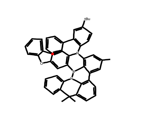 Cc1cc2c3c(c1)N(c1ccc(C(C)(C)C)cc1-c1ccccc1)c1cc4c(cc1B3N1c3ccccc3C(C)(C)c3cccc-2c31)oc1ccccc14